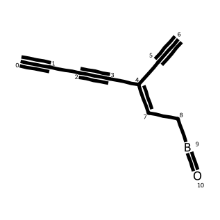 C#CC#C/C(C#C)=C/CB=O